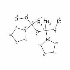 CCOC(C)(OC(C)(OCC)N1CCCC1)N1CCCC1